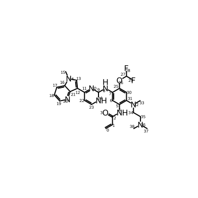 C=CC(=O)Nc1cc(NC2N=C(c3cn(C)c4cccnc34)C=CN2)c(OC(F)F)cc1N(C)CCN(C)C